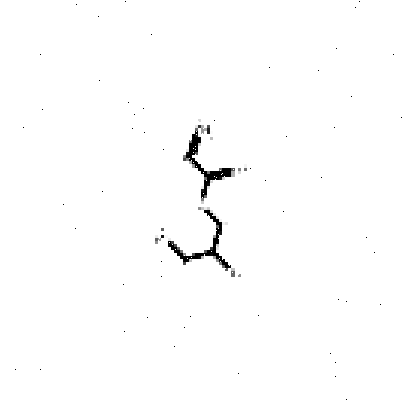 C=CC(=O)OCC(CC)CC(C)C